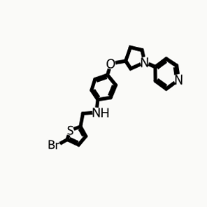 Brc1ccc(CNc2ccc(OC3CCN(c4ccncc4)C3)cc2)s1